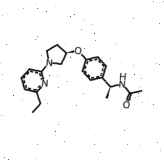 CCc1cccc(N2CC[C@@H](Oc3ccc([C@H](C)NC(C)=O)cc3)C2)n1